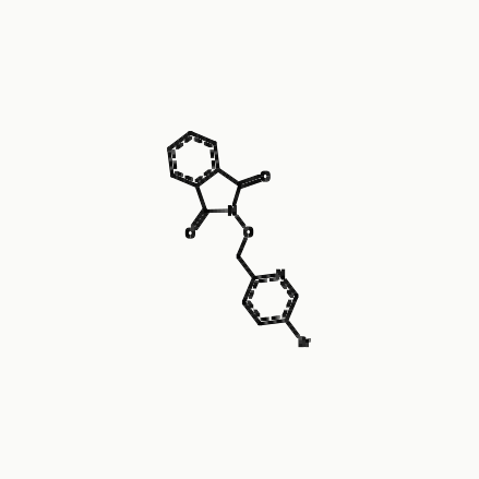 O=C1c2ccccc2C(=O)N1OCc1ccc(Br)cn1